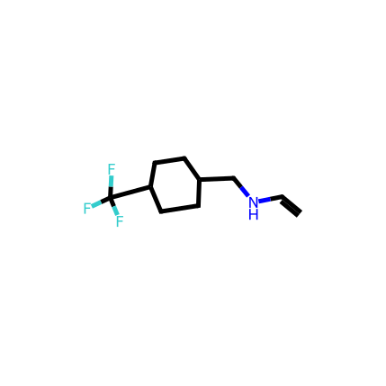 C=CNCC1CCC(C(F)(F)F)CC1